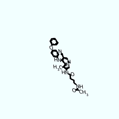 CC(=O)NCCCC(=O)Nc1cn2ncc(C#N)c(Nc3ccc(Oc4ccccc4)cc3)c2c1C